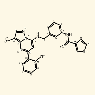 O=C(Nc1cccc(CNc2cc(-c3ccccc3Cl)nc3c(Br)cnn23)c1)c1ccsc1